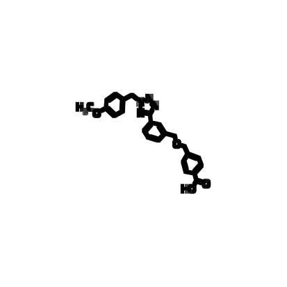 COc1ccc(Cn2nnc(-c3cccc(COCc4ccc(C(=O)O)cc4)c3)n2)cc1